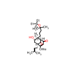 CC[Si](CC)(CC)OC(C)(C)CCC[C@@]1(C)[C@H]2C(=O)C=C(OC)[C@@](CC=C(C)C)(C[C@@H]1O)C2=O